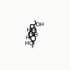 CC(O)C1CC[C@H]2[C@@H]3CC[C@@H]4C[C@](O)(CF)CC[C@@H]4[C@H]3CC[C@]12C